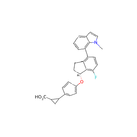 Cn1ccc2cccc(-c3ccc(F)c4c3CC[C@H]4Oc3ccc(C4CC4C(=O)O)cc3)c21